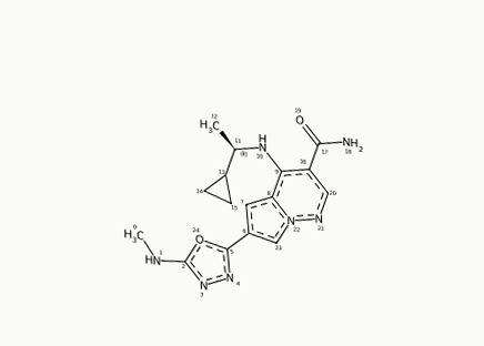 CNc1nnc(-c2cc3c(N[C@H](C)C4CC4)c(C(N)=O)cnn3c2)o1